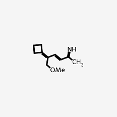 COCC(/C=C/C(C)=N)=C1CCC1